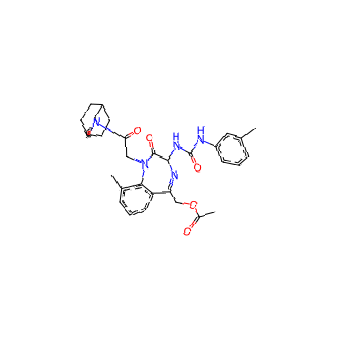 CC(=O)OCC1=NC(NC(=O)Nc2cccc(C)c2)C(=O)N(CC(=O)N2CC3CCC(CC3)C2)c2c(C)cccc21